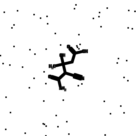 CC(O)(CC(=O)O)C(C#N)C(N)=O